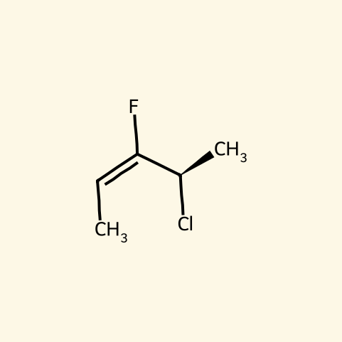 C/C=C(/F)[C@@H](C)Cl